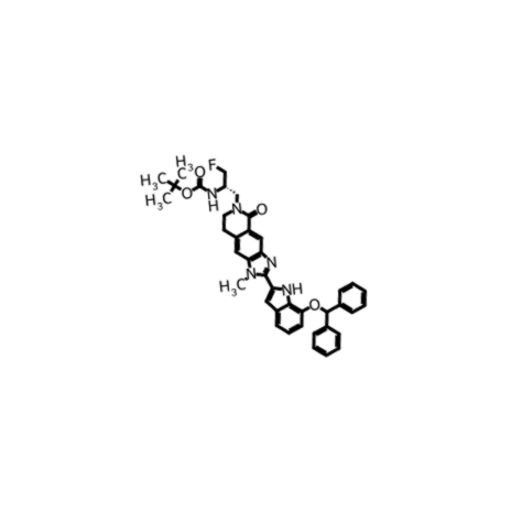 Cn1c(-c2cc3cccc(OC(c4ccccc4)c4ccccc4)c3[nH]2)nc2cc3c(cc21)CCN(C[C@@H](CF)NC(=O)OC(C)(C)C)C3=O